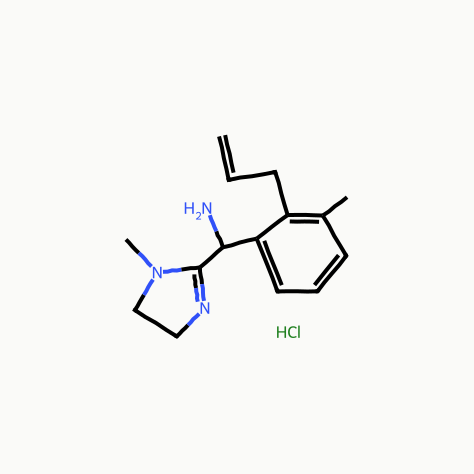 C=CCc1c(C)cccc1C(N)C1=NCCN1C.Cl